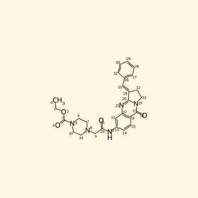 CCOC(=O)N1CCN(CC(=O)Nc2ccc3c(=O)n4c(nc3c2)C(=Cc2ccccc2)CC4)CC1